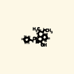 CCCC(C)CC(NOCc1ccccc1)c1ccccc1C(=O)O